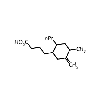 C=C1CC(CCCC(=O)O)C(CCC)CC1C